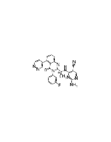 C[C@H](Nc1nc(N)ncc1C#N)c1nc2cccc(-c3ccnnc3)c2c(=O)n1-c1cccc(F)c1